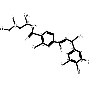 C[C@H](C[S+]([O-])CC(F)(F)F)NC(=O)c1ccc(/C(F)=C/C(c2cc(Cl)c(Cl)c(Cl)c2)C(F)(F)F)cc1Cl